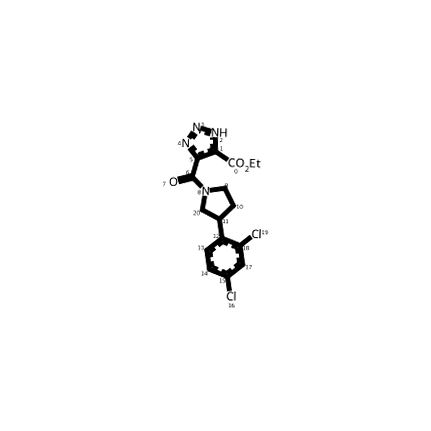 CCOC(=O)c1[nH]nnc1C(=O)N1CCC(c2ccc(Cl)cc2Cl)C1